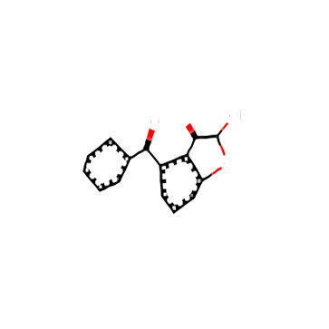 O=C(c1ccccc1)c1cccc2c1C(=O)C(O)O2